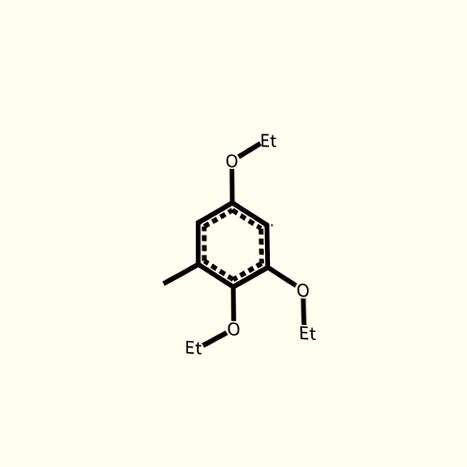 CCOc1[c]c(OCC)c(OCC)c(C)c1